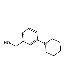 OCc1cc[c]c(N2CCCCC2)c1